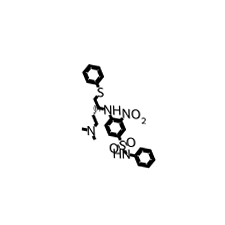 CN(C)CC[C@H](CSc1ccccc1)Nc1ccc(S(=O)(=O)Nc2ccccc2)cc1[N+](=O)[O-]